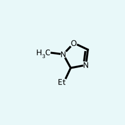 CCC1N=CON1C